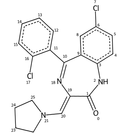 O=C1Nc2ccc(Cl)cc2C(c2ccccc2Cl)=NC1=CN1CCCC1